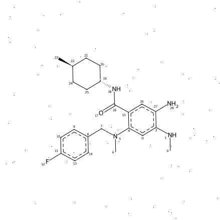 CNc1cc(N(C)Cc2ccc(F)cc2)c(C(=O)N[C@H]2CC[C@H](C)CC2)cc1N